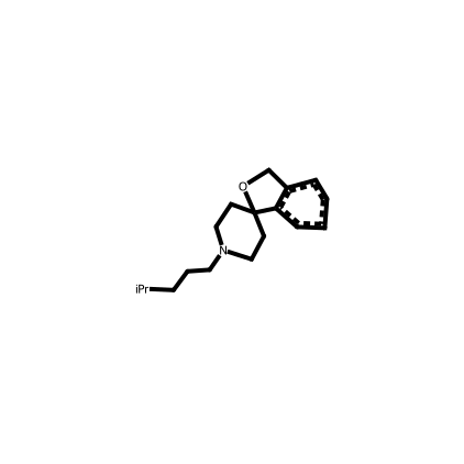 CC(C)CCCN1CCC2(CC1)OCc1ccccc12